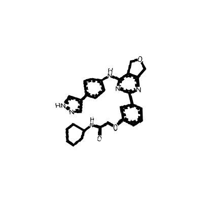 O=C(COc1cccc(-c2nc3c(c(Nc4ccc(-c5cn[nH]c5)cc4)n2)COC3)c1)NC1CCCCC1